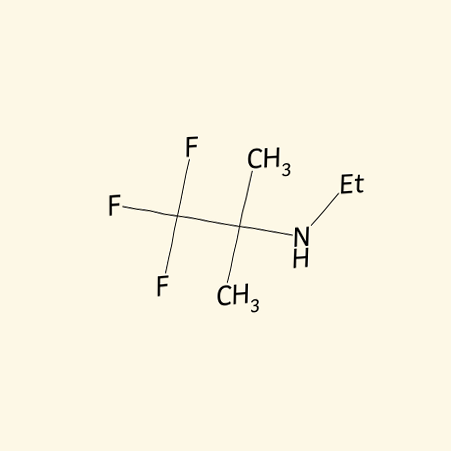 CCNC(C)(C)C(F)(F)F